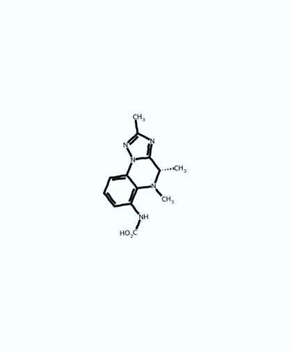 Cc1nc2n(n1)-c1cccc(NC(=O)O)c1N(C)[C@H]2C